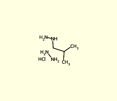 CC(C)CNN.Cl.NN